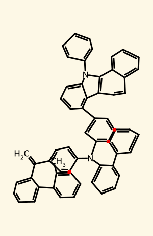 C=C(c1ccc(N(c2cccc(-c3cccc4c3c3ccc5ccccc5c3n4-c3ccccc3)c2)c2ccccc2-c2ccccc2)cc1)c1ccccc1-c1ccccc1C